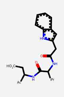 CC(=O)C(CC(=O)O)NC(=O)C(NC(=O)Cc1cc2ccccc2[nH]1)C(C)C